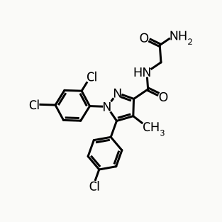 Cc1c(C(=O)NCC(N)=O)nn(-c2ccc(Cl)cc2Cl)c1-c1ccc(Cl)cc1